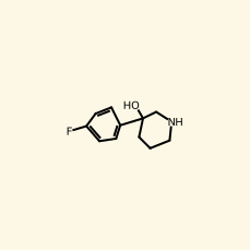 OC1(c2ccc(F)cc2)CCCNC1